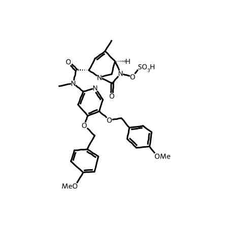 COc1ccc(COc2cnc(N(C)C(=O)[C@@H]3C=C(C)[C@@H]4CN3C(=O)N4OS(=O)(=O)O)cc2OCc2ccc(OC)cc2)cc1